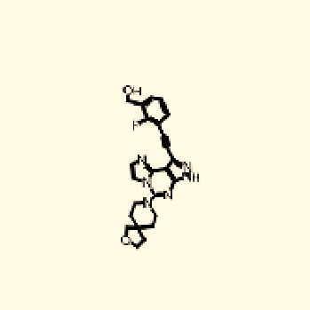 OCc1cccc(C#Cc2n[nH]c3nc(N4CCC5(CCOC5)CC4)n4ccnc4c23)c1F